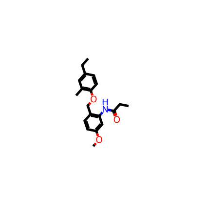 CCC(=O)Nc1cc(OC)ccc1COc1ccc(CC)cc1C